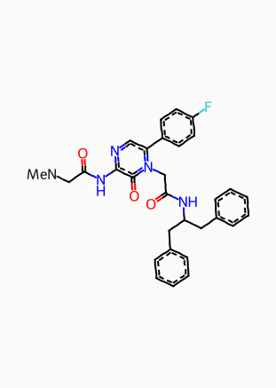 CNCC(=O)Nc1ncc(-c2ccc(F)cc2)n(CC(=O)NC(Cc2ccccc2)Cc2ccccc2)c1=O